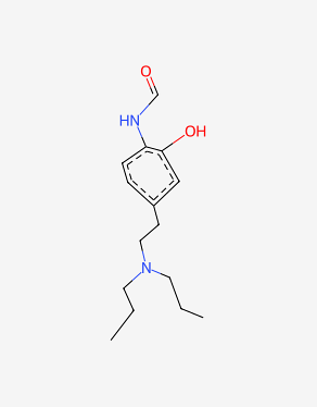 CCCN(CCC)CCc1ccc(NC=O)c(O)c1